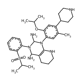 Cc1cc(N2C3=C(CCCN3)C(N)N(c3ccccc3S(=O)(=O)C(C)C)C2N)c(OC(C)C)cc1C1CCNCC1